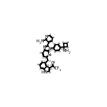 Nc1ncccc1-c1nc2ccc(Cc3cccc4[nH]cc(C(=O)C(F)(F)F)c34)nc2n1-c1ccc(C2(N)CCC2)cc1